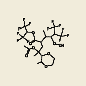 CC(=O)OC(C)(CC(C(=O)OC(C(F)(F)F)C(F)(F)F)C(C)C(OO)C(C(F)(F)F)C(F)(F)F)C1OCCOC1C